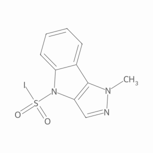 Cn1ncc2c1c1ccccc1n2S(=O)(=O)I